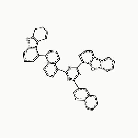 C1=Cc2c(oc3cccc(-c4cccc5c(-c6nc(-c7ccc8ccccc8c7)nc(-c7cccc8c7oc7ccccc78)n6)cccc45)c23)CC1